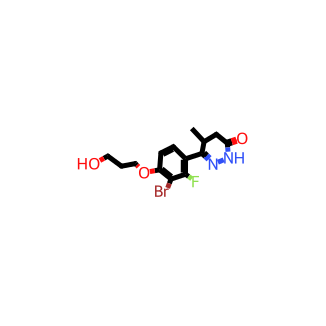 CC1CC(=O)NN=C1c1ccc(OCCCO)c(Br)c1F